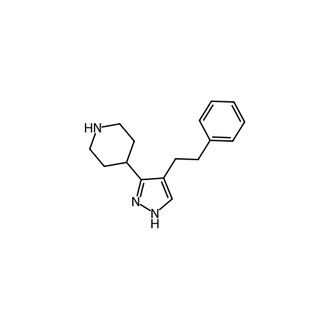 c1ccc(CCc2c[nH]nc2C2CCNCC2)cc1